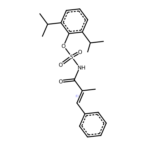 C/C(=C\c1ccccc1)C(=O)NS(=O)(=O)Oc1c(C(C)C)cccc1C(C)C